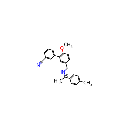 COc1ccc(CN[C@H](C)c2ccc(C)cc2)cc1-c1cccc(C#N)c1